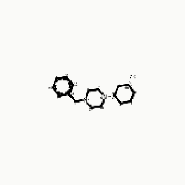 C[C@@H]1CCC[C@H](N2CCN(Cc3ccccc3)CC2)C1